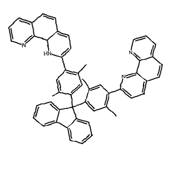 Cc1cc(C2(c3cc(C)c(-c4ccc5ccc6cccnc6c5n4)cc3C)c3ccccc3-c3ccccc32)c(C)cc1C1=CC=C2C=Cc3cccnc3C2N1